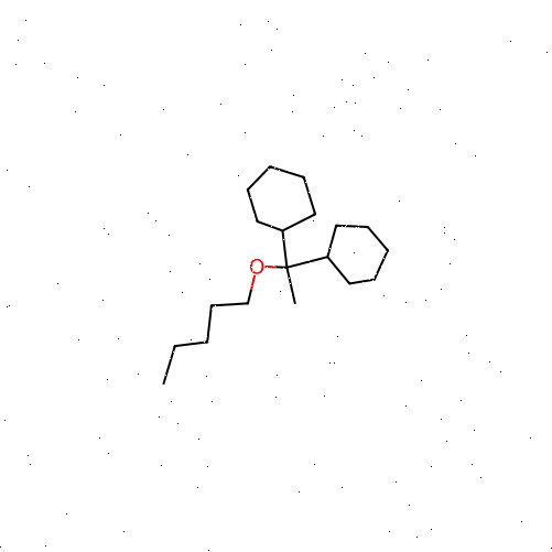 CCCCCOC(C)(C1CCCCC1)C1CCCCC1